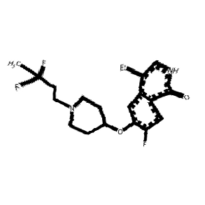 CCc1c[nH]c(=O)c2cc(F)c(OC3CCN(CCC(C)(F)F)CC3)cc12